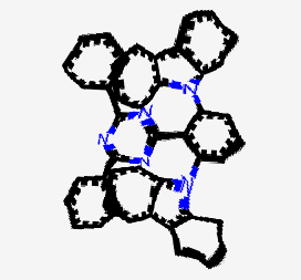 C1=Cc2c(n(-c3cccc(-n4c5ccccc5c5ccccc54)c3-c3nc(-c4ccccc4)nc(-c4ccccc4)n3)c3ccccc23)CC1